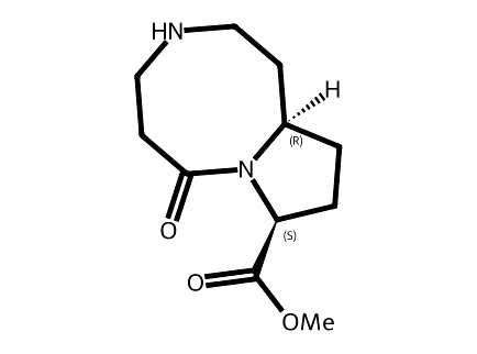 COC(=O)[C@@H]1CC[C@@H]2CCNCCC(=O)N21